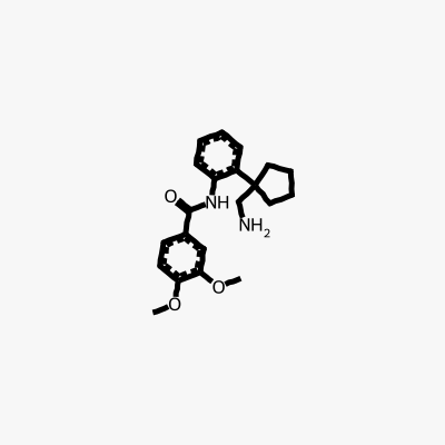 COc1ccc(C(=O)Nc2ccccc2C2(CN)CCCC2)cc1OC